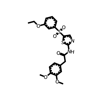 CCOc1cccc(S(=O)(=O)c2cnc(NC(=O)Cc3ccc(OC)c(OC)c3)s2)c1